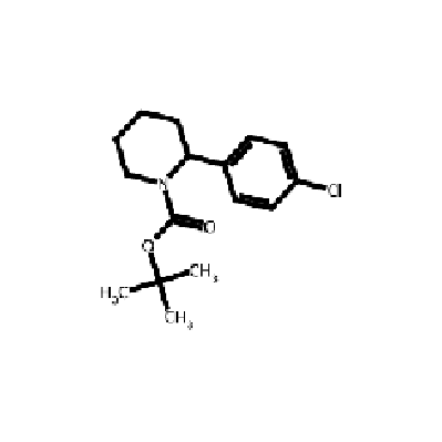 CC(C)(C)OC(=O)N1CCCCC1c1ccc(Cl)cc1